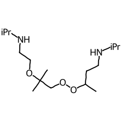 CC(C)NCCOC(C)(C)COOC(C)CCNC(C)C